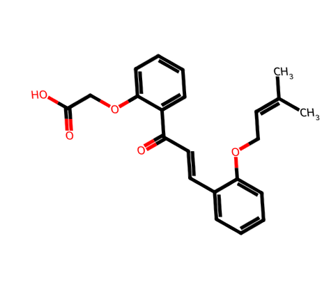 CC(C)=CCOc1ccccc1/C=C/C(=O)c1ccccc1OCC(=O)O